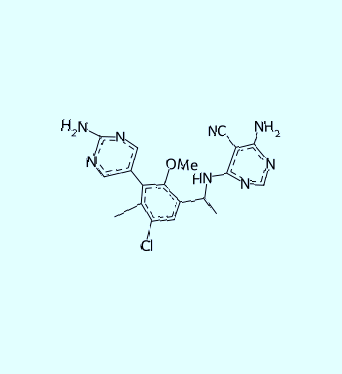 COc1c(C(C)Nc2ncnc(N)c2C#N)cc(Cl)c(C)c1-c1cnc(N)nc1